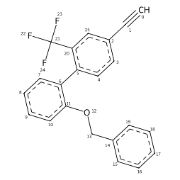 C#Cc1ccc(-c2ccccc2OCc2ccccc2)c(C(F)(F)F)c1